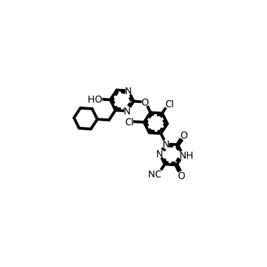 N#Cc1nn(-c2cc(Cl)c(Oc3ncc(O)c(CC4CCCCC4)n3)c(Cl)c2)c(=O)[nH]c1=O